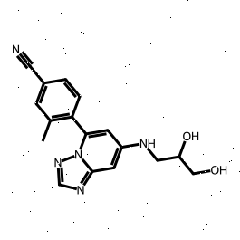 Cc1cc(C#N)ccc1-c1cc(NCC(O)CO)cc2ncnn12